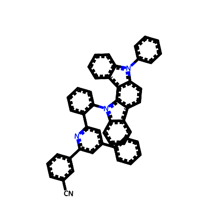 N#Cc1cccc(-c2cc(-c3ccccc3)cc(-c3ccccc3-n3c4ccccc4c4ccc5c(c6ccccc6n5-c5ccccc5)c43)n2)c1